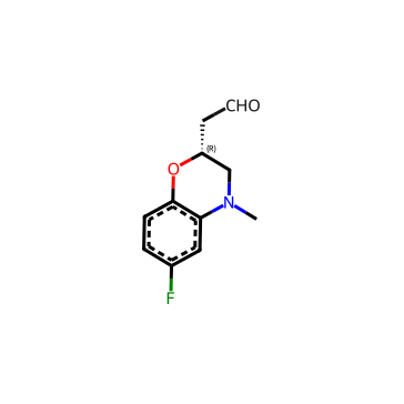 CN1C[C@@H](CC=O)Oc2ccc(F)cc21